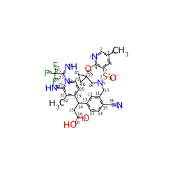 Cc1cnc2c(c1)[S+]([O-])N(Cc1cc(C(CC(=O)O)c3ccn(C(=N)C(F)(F)F)c(=N)c3C)ccc1C#N)CC1(CC1)O2